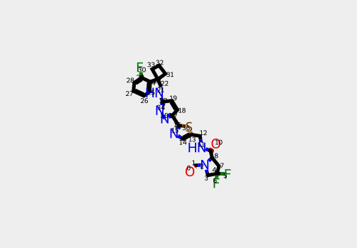 O=CN1CC(F)(F)CC1C(=O)NCc1cnc(-c2ccc(NCC3(c4ccccc4F)CCC3)nn2)s1